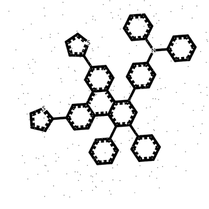 c1ccc(-c2cc(-c3ccc(N(c4ccccc4)c4ccccc4)cc3)c3c4ccc(-c5cccs5)cc4c4cc(-c5cccs5)ccc4c3c2-c2ccccc2)cc1